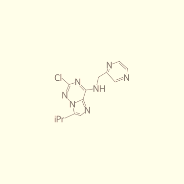 CC(C)c1cnc2c(NCc3cnccn3)nc(Cl)nn12